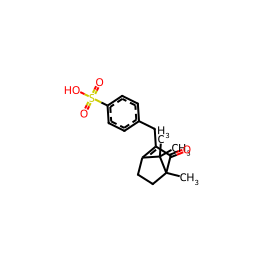 CC1(C)C2=C(Cc3ccc(S(=O)(=O)O)cc3)C(=O)C1(C)CC2